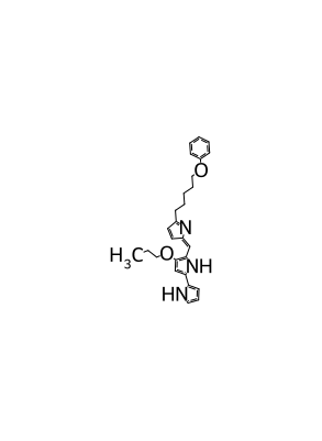 CCCOc1cc(-c2ccc[nH]2)[nH]c1C=C1C=CC(CCCCCOc2ccccc2)=N1